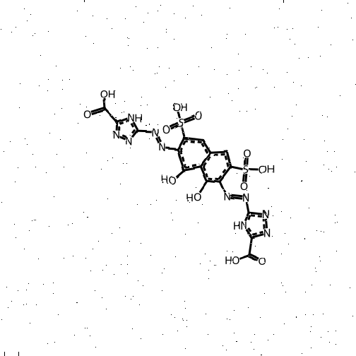 O=C(O)c1nnc(/N=N/c2c(S(=O)(=O)O)cc3cc(S(=O)(=O)O)c(/N=N/c4nnc(C(=O)O)[nH]4)c(O)c3c2O)[nH]1